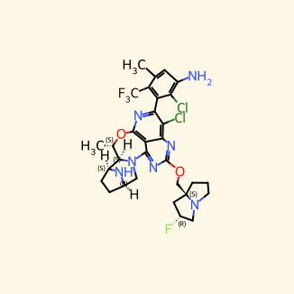 Cc1cc(N)c(Cl)c(-c2nc3c4c(nc(OC[C@@]56CCCN5C[C@H](F)C6)nc4c2Cl)N2C[C@H]4CC[C@H](N4)[C@H]2[C@H](C)O3)c1C(F)(F)F